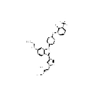 CCNc1cc2c(cn1)c(-c1cnn(C[C@H](O)CO)c1)nn2C1CCC(Oc2cccc(C(F)(F)F)c2F)CC1